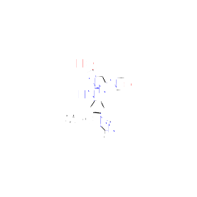 COc1cc(Nc2nc(N3CCOCC3)cc(C(C)(C)O)n2)ccc1-n1cnc(C)c1